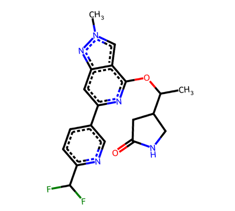 CC(Oc1nc(-c2ccc(C(F)F)nc2)cc2nn(C)cc12)C1CNC(=O)C1